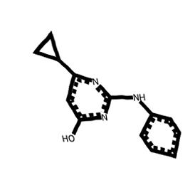 Oc1cc(C2CC2)nc(Nc2ccccc2)n1